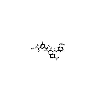 CCCN(CCC)C(=O)c1cc(C)cc(C(=O)N[C@@H](Cc2ccc(N(C)C)cc2)[C@H](O)CNCc2cccc(OC)c2)c1